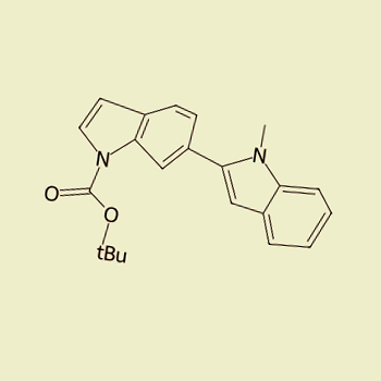 Cn1c(-c2ccc3ccn(C(=O)OC(C)(C)C)c3c2)cc2ccccc21